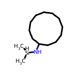 C[SiH](C)NC1CCCCCCCCCCC1